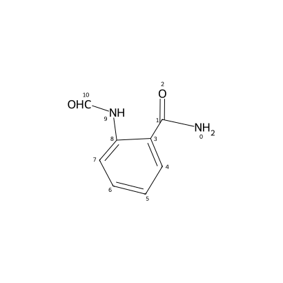 NC(=O)c1ccccc1NC=O